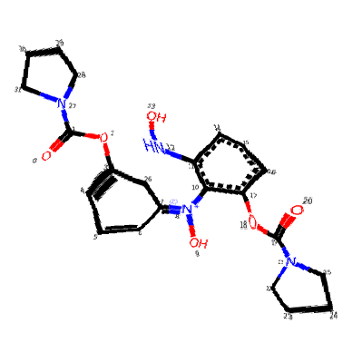 O=C(OC1=CC=C/C(=[N+](\O)c2c(NO)cccc2OC(=O)N2CCCC2)C1)N1CCCC1